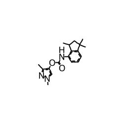 Cc1nn(C)cc1OC(=O)Nc1cccc2c1C(C)CC2(C)C